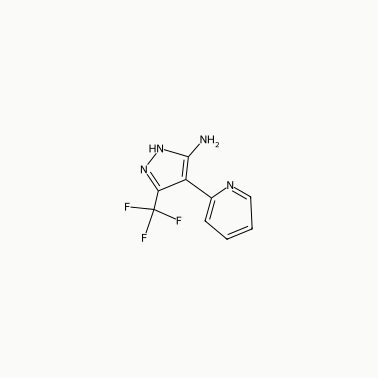 Nc1[nH]nc(C(F)(F)F)c1-c1ccccn1